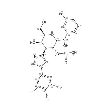 O=P(O)(O)O[C@@H]1[C@@H](n2cc(-c3cc(F)c(F)c(F)c3)nn2)[C@@H](O)[C@@H](CO)O[C@@H]1Sc1cncc(Br)c1